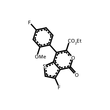 CCOC(=O)c1oc(=O)c2c(F)csc2c1-c1ccc(F)cc1OC